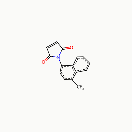 O=C1C=CC(=O)N1c1ccc(C(F)(F)F)c2ccccc12